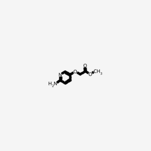 COC(=O)COc1ccc(N)nc1